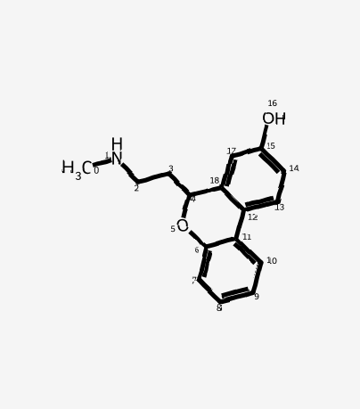 CNCCC1Oc2ccccc2-c2ccc(O)cc21